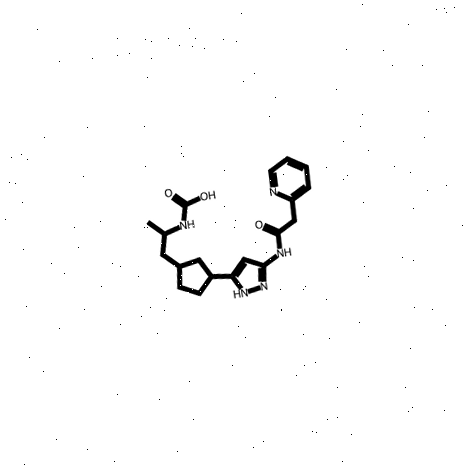 CC(CC1CCC(c2cc(NC(=O)Cc3ccccn3)n[nH]2)C1)NC(=O)O